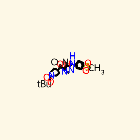 CC(C)(C)OC(=O)N1CCC(C(O)c2ncnc(Nc3ccc(S(C)(=O)=O)cc3)c2[N+](=O)[O-])CC1